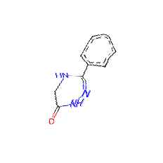 O=C1CNC(c2ccccc2)=NN1